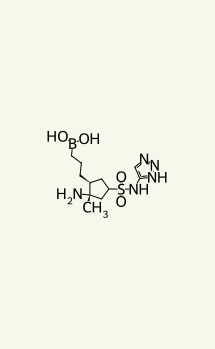 C[C@]1(N)CC(S(=O)(=O)Nc2cnn[nH]2)C[C@@H]1CCCB(O)O